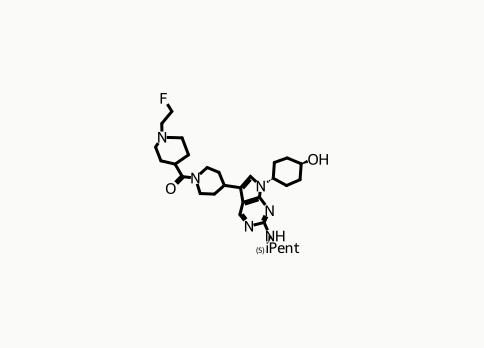 CCC[C@H](C)Nc1ncc2c(C3CCN(C(=O)C4CCN(CCF)CC4)CC3)cn([C@H]3CC[C@H](O)CC3)c2n1